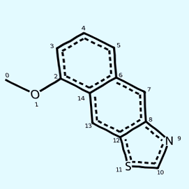 COc1cccc2cc3ncsc3cc12